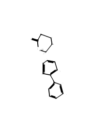 O=C1CCC[C@H](c2ccc(-c3ccccc3)cc2)N1